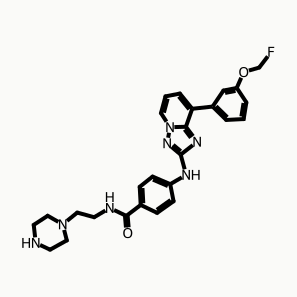 O=C(NCCN1CCNCC1)c1ccc(Nc2nc3c(-c4cccc(OCF)c4)cccn3n2)cc1